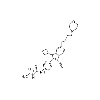 CC(C)NC(=O)Nc1ccc(-c2c(C#N)c3ccc(CCCCN4CCOCC4)cc3n2C2CCC2)cc1